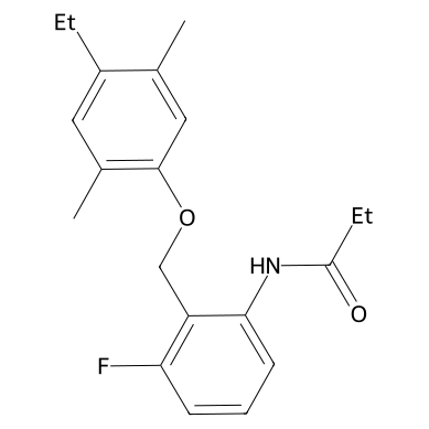 CCC(=O)Nc1cccc(F)c1COc1cc(C)c(CC)cc1C